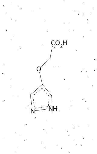 O=C(O)COc1cn[nH]c1